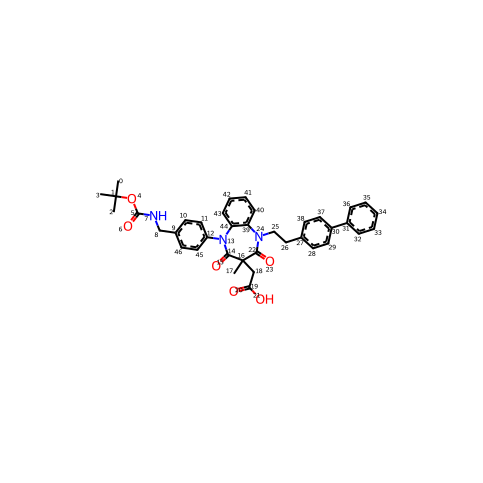 CC(C)(C)OC(=O)NCc1ccc(N2C(=O)C(C)(CC(=O)O)C(=O)N(CCc3ccc(-c4ccccc4)cc3)c3ccccc32)cc1